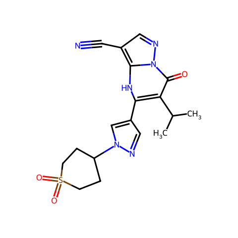 CC(C)c1c(-c2cnn(C3CCS(=O)(=O)CC3)c2)[nH]c2c(C#N)cnn2c1=O